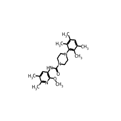 COc1nc(C)c(C)cc1NC(=O)N1CCN(c2c(C)c(C)cc(C)c2C)CC1